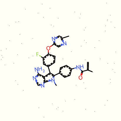 C=C(C)C(=O)Nc1ccc(-c2c(-c3ccc(Oc4cnc(C)cn4)c(F)c3)c3c(N)ncnc3n2C)cc1